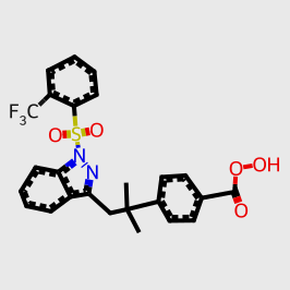 CC(C)(Cc1nn(S(=O)(=O)c2ccccc2C(F)(F)F)c2ccccc12)c1ccc(C(=O)OO)cc1